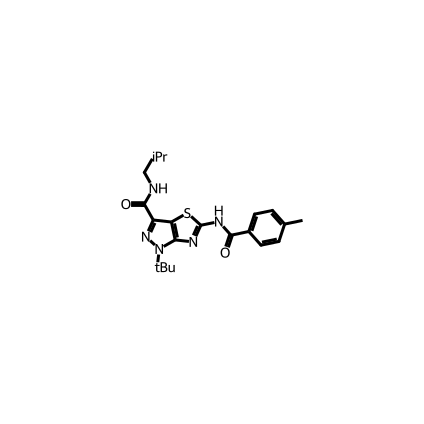 Cc1ccc(C(=O)Nc2nc3c(s2)c(C(=O)NCC(C)C)nn3C(C)(C)C)cc1